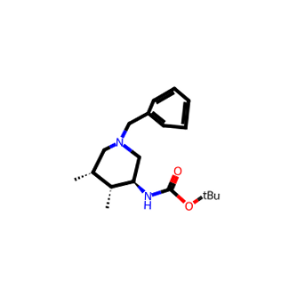 C[C@@H]1[C@H](C)CN(Cc2ccccc2)C[C@H]1NC(=O)OC(C)(C)C